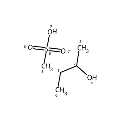 CCC(C)O.CS(=O)(=O)O